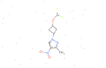 Cc1nn(C2CC(OC(F)F)C2)cc1[N+](=O)[O-]